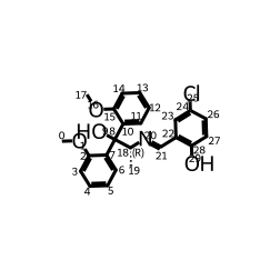 COc1ccccc1C(O)(c1ccccc1OC)[C@@H](C)N=Cc1cc(Cl)ccc1O